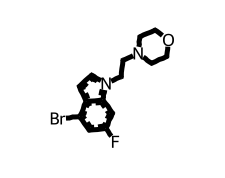 Fc1cc(Br)c2ccn(CCN3CCOCC3)c2c1